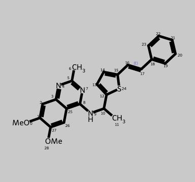 COc1cc2nc(C)nc(NC(C)c3ccc(/C=C/c4ccccc4)s3)c2cc1OC